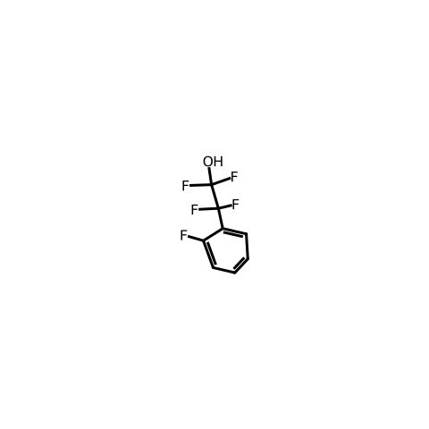 OC(F)(F)C(F)(F)c1ccccc1F